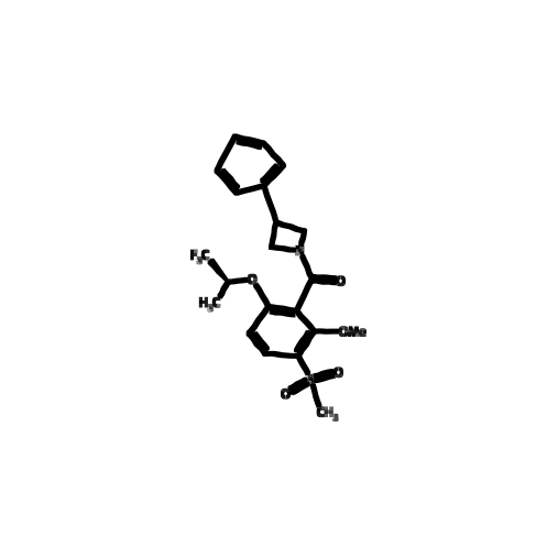 COc1c(S(C)(=O)=O)ccc(O[C@@H](C)C(F)(F)F)c1C(=O)N1CC(c2ccccc2)C1